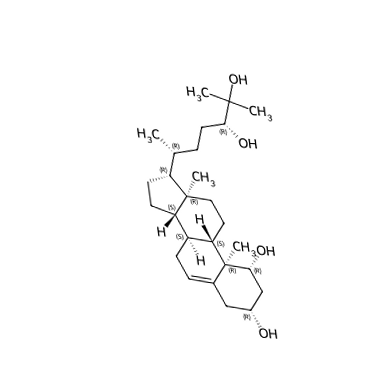 C[C@H](CC[C@@H](O)C(C)(C)O)[C@H]1CC[C@H]2[C@@H]3CC=C4C[C@@H](O)C[C@@H](O)[C@]4(C)[C@H]3CC[C@]12C